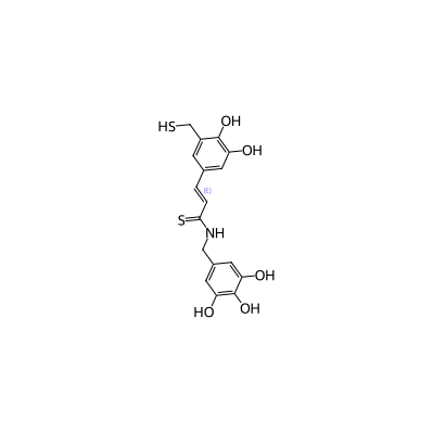 Oc1cc(CNC(=S)/C=C/c2cc(O)c(O)c(CS)c2)cc(O)c1O